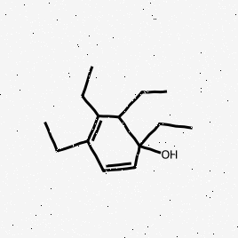 CCC1=C(CC)C(CC)C(O)(CC)C=C1